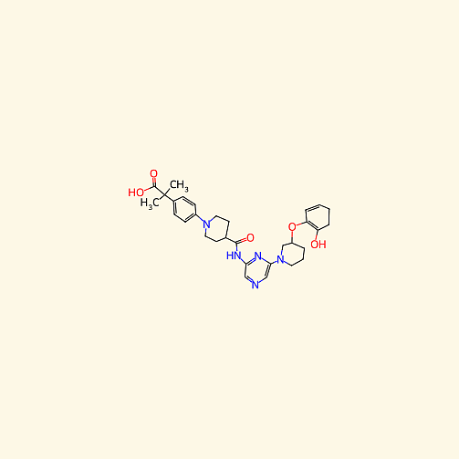 CC(C)(C(=O)O)c1ccc(N2CCC(C(=O)Nc3cncc(N4CCCC(OC5=C(O)CCC=C5)C4)n3)CC2)cc1